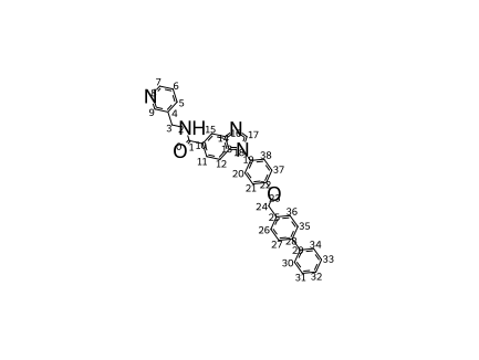 O=C(NCc1cccnc1)c1ccc2c(c1)ncn2-c1ccc(OCc2ccc(-c3ccccc3)cc2)cc1